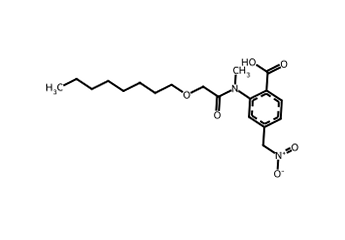 CCCCCCCCOCC(=O)N(C)c1cc(C[N+](=O)[O-])ccc1C(=O)O